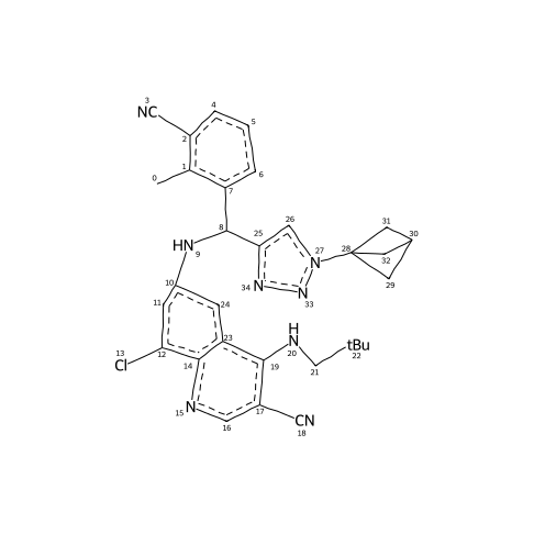 Cc1c(C#N)cccc1C(Nc1cc(Cl)c2ncc(C#N)c(NCC(C)(C)C)c2c1)c1cn(C23CC(C2)C3)nn1